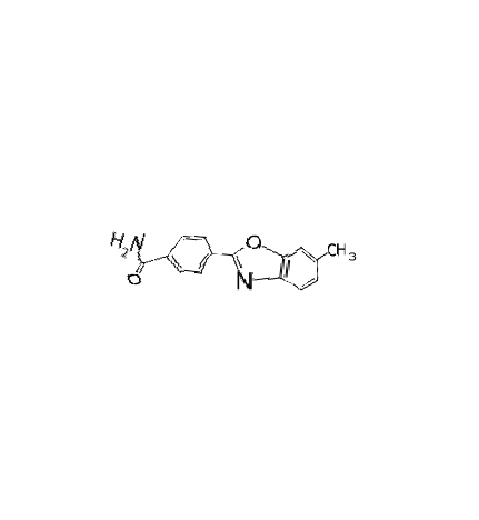 Cc1ccc2nc(-c3ccc(C(N)=O)cc3)oc2c1